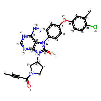 CC#CC(=O)N1CC[C@@H](n2c(=O)n(-c3ccc(Oc4ccc(Cl)c(C)c4)cc3)c3c(N)ncnc32)C1